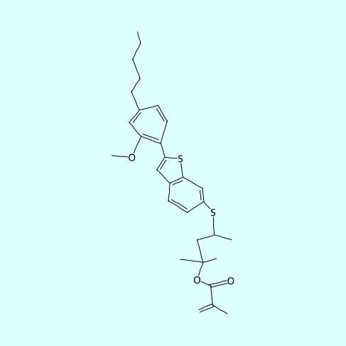 C=C(C)C(=O)OC(C)(C)CC(C)Sc1ccc2cc(-c3ccc(CCCCC)cc3OC)sc2c1